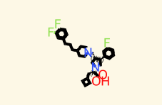 O=C(O)[C@@H](CC1CCC1)N1C[C@H](CN2CCC(CCCc3ccc(F)c(F)c3)CC2)[C@@H](c2cccc(F)c2)C1